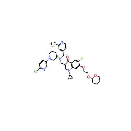 Cc1cc(CN(Cc2cn(C3CC3)c3cc(OCCOC4CCCCO4)c(F)cc3c2=O)[C@H]2CCCN(c3ccc(Cl)nc3)C2)ccn1